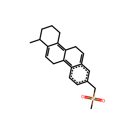 CC1CCCC2=C3CC=c4cc(CS(C)(=O)=O)ccc4=C3CC=C21